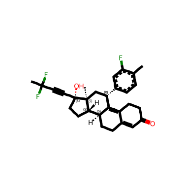 Cc1ccc([C@H]2C[C@@]3(C)[C@@H](CC[C@@]3(O)C#CC(C)(F)F)[C@@H]3CCC4=CC(=O)CCC4=C32)cc1F